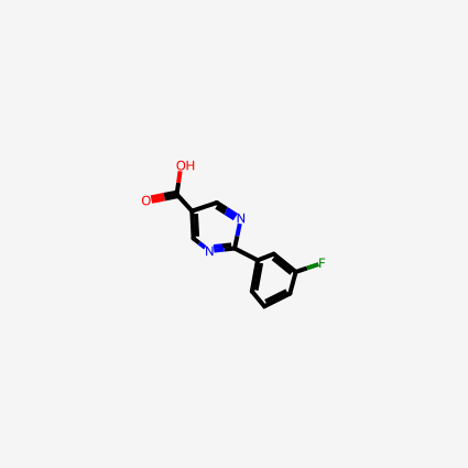 O=C(O)c1cnc(-c2cccc(F)c2)nc1